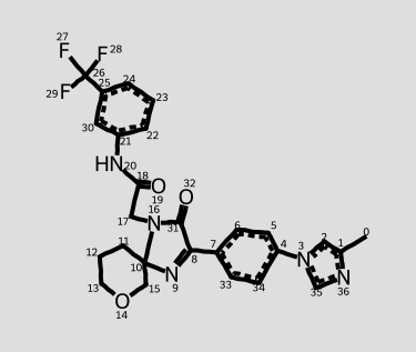 Cc1cn(-c2ccc(C3=NC4(CCCOC4)N(CC(=O)Nc4cccc(C(F)(F)F)c4)C3=O)cc2)cn1